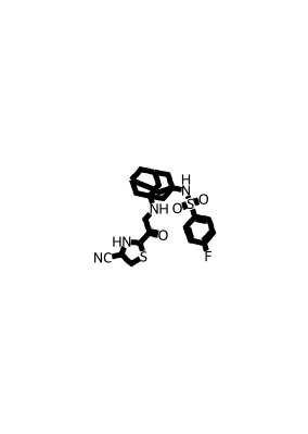 N#CC1CSC(C(=O)CNC23CC4CC(C2)CC(NS(=O)(=O)c2ccc(F)cc2)(C4)C3)N1